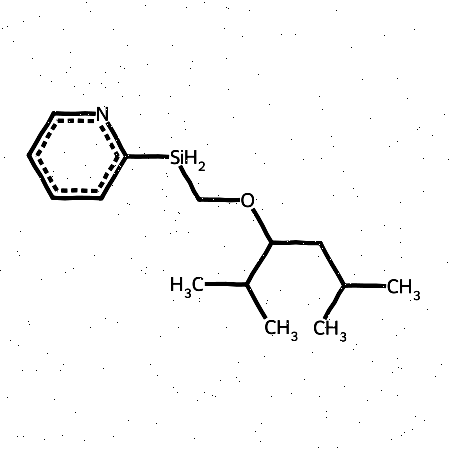 CC(C)CC(OC[SiH2]c1ccccn1)C(C)C